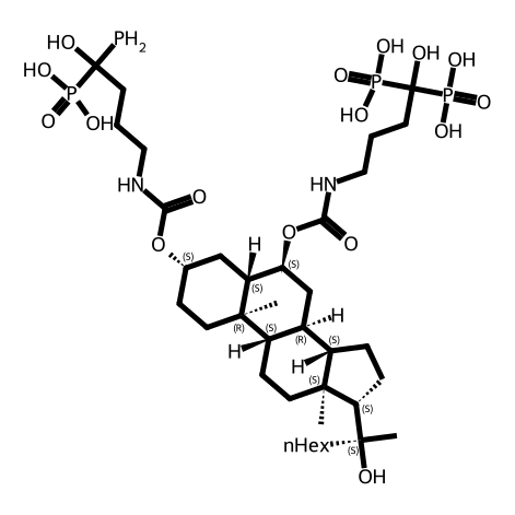 CCCCCC[C@](C)(O)[C@H]1CC[C@H]2[C@@H]3C[C@H](OC(=O)NCCCC(O)(P(=O)(O)O)P(=O)(O)O)[C@H]4C[C@@H](OC(=O)NCCCC(O)(P)P(=O)(O)O)CC[C@]4(C)[C@H]3CC[C@@]21C